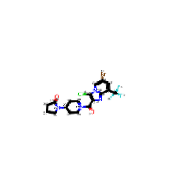 O=C(c1nc2c(C(F)(F)F)cc(Br)cn2c1Cl)N1CCC(N2CCCC2=O)CC1